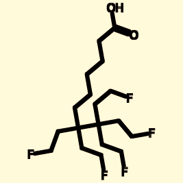 O=C(O)CCCCCC(CCF)(CCF)C(CCF)(CCF)CCF